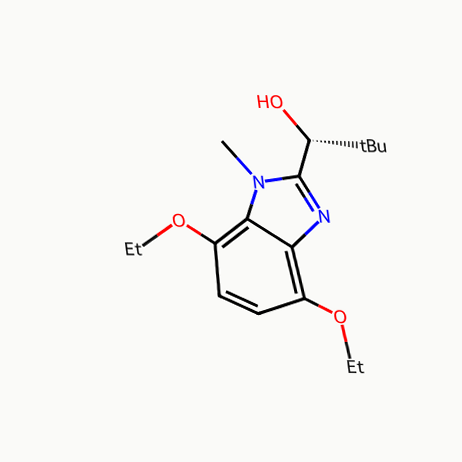 CCOc1ccc(OCC)c2c1nc([C@H](O)C(C)(C)C)n2C